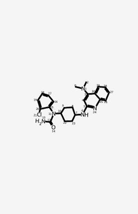 CN(C)c1cc(NC2CCC(N(C(N)=O)c3ccccc3Cl)CC2)nc2ccccc12